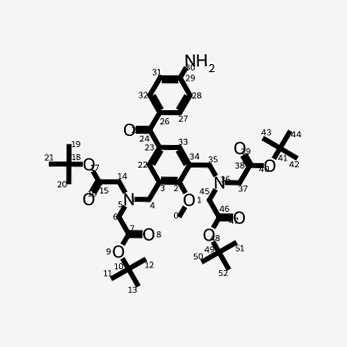 COc1c(CN(CC(=O)OC(C)(C)C)CC(=O)OC(C)(C)C)cc(C(=O)c2ccc(N)cc2)cc1CN(CC(=O)OC(C)(C)C)CC(=O)OC(C)(C)C